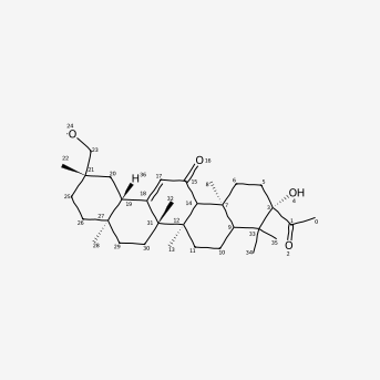 CC(=O)[C@]1(O)CC[C@@]2(C)C(CC[C@]3(C)C2C(=O)C=C2[C@H]4C[C@@](C)(C[O])CC[C@]4(C)CC[C@]23C)C1(C)C